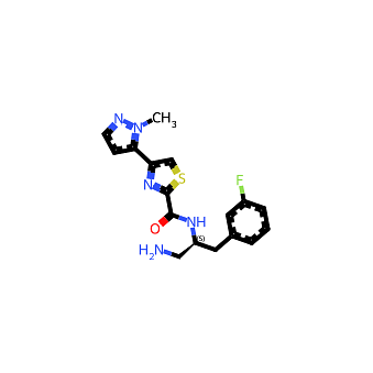 Cn1nccc1-c1csc(C(=O)N[C@H](CN)Cc2cccc(F)c2)n1